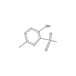 Cc1ccc(O)c(S(C)(=O)=O)c1